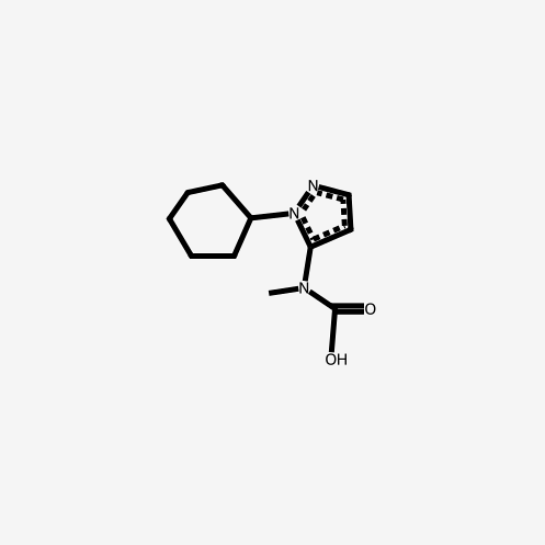 CN(C(=O)O)c1ccnn1C1CCCCC1